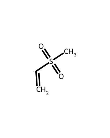 C=[C]S(C)(=O)=O